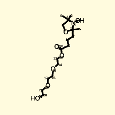 CC1(C)COC(C)(CCCC(=O)OCCOCCOCCO)N1O